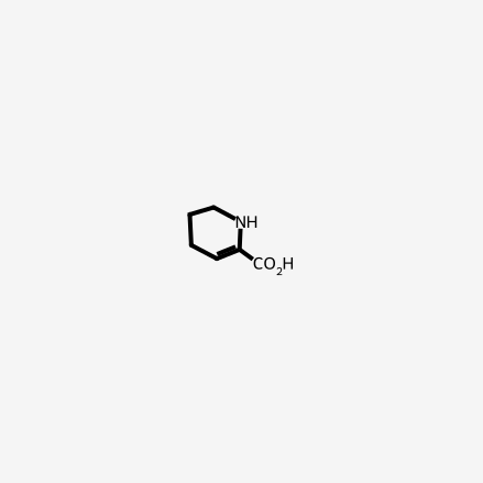 O=C(O)C1=CCCCN1